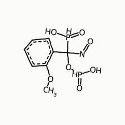 COc1ccccc1C(N=O)(O[PH](=O)O)[PH](=O)O